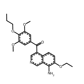 CCCOc1c(OC)cc(C(=O)c2cncc3c(N)c(OCC)ccc23)cc1OC